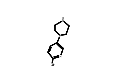 Oc1ccc(N2CCNCC2)cn1